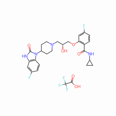 O=C(NC1CC1)c1ccc(F)cc1OC[C@@H](O)CN1CCC(n2c(=O)[nH]c3cc(F)ccc32)CC1.O=C(O)C(F)(F)F